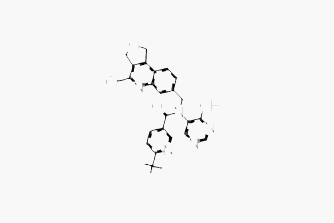 Cc1ncncc1N(Cc1ccc2c3c(c(Cl)nc2c1)COC3)C(=O)c1ccc(C(F)(F)F)nc1